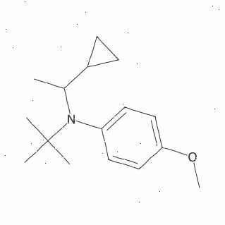 COc1ccc(N(C(C)C2CC2)C(C)(C)C)cc1